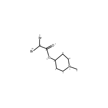 CN1CCC(OC(=O)C(Br)Br)CC1